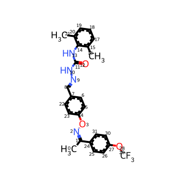 CC(=NOc1ccc(C=NNC(=O)Nc2c(C)cccc2C)cc1)c1ccc(OC(F)(F)F)cc1